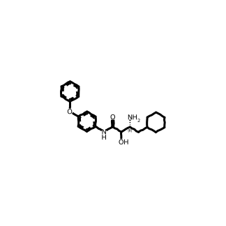 N[C@H](CC1CCCCC1)C(O)C(=O)Nc1ccc(Oc2ccccc2)cc1